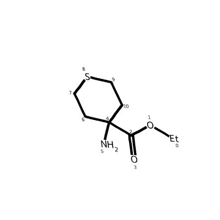 CCOC(=O)C1(N)CCSCC1